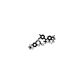 CC[C@@H]1CN(Cc2cc(C(c3ccc4c(nnn4C)c3C)C(C)(C)C(=O)O)ccc2C)Cc2cc3c(cc2O1)OC(C)(C)O3